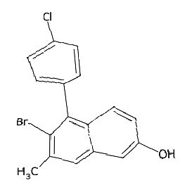 Cc1cc2cc(O)ccc2c(-c2ccc(Cl)cc2)c1Br